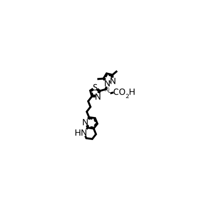 Cc1cc(C)n([C@H](CC(=O)O)c2nc(CCCc3ccc4c(n3)NCCC4)cs2)n1